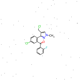 Cn1cc(CCl)c(-c2ccc(Cl)cc2C(=O)c2ccccc2F)n1